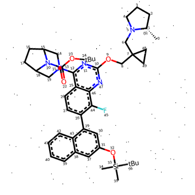 C[C@H]1CCCN1CC1(COc2nc(N3CC4CCC(C3)N4C(=O)OC(C)(C)C)c3ccc(-c4cc(O[Si](C)(C)C(C)(C)C)cc5ccccc45)c(F)c3n2)CC1